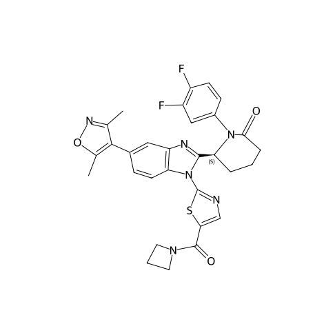 Cc1noc(C)c1-c1ccc2c(c1)nc([C@@H]1CCCC(=O)N1c1ccc(F)c(F)c1)n2-c1ncc(C(=O)N2CCC2)s1